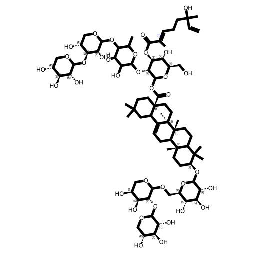 C=CC(C)(O)CC/C=C(\C)C(=O)O[C@H]1[C@H](O)[C@@H](CO)OC(OC(=O)[C@]23CCC(C)(C)CC2C2=CCC4[C@@]5(C)CC[C@H](OC6O[C@H](COC7OC[C@H](O)[C@H](O)[C@H]7OC7OC[C@@H](O)[C@H](O)[C@H]7O)[C@@H](O)[C@H](O)[C@H]6O)C(C)(C)C5CC[C@@]4(C)[C@]2(C)CC3)[C@@H]1OC1OC(C)C(OC2OC[C@@H](O)[C@H](OC3OC[C@@H](O)[C@H](O)[C@H]3O)[C@H]2O)C(O)C1O